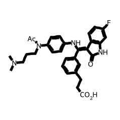 CC(=O)N(CCCN(C)C)c1ccc(NC(=C2C(=O)Nc3cc(F)ccc32)c2cccc(CCC(=O)O)c2)cc1